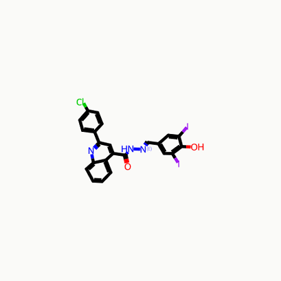 O=C(N/N=C/c1cc(I)c(O)c(I)c1)c1cc(-c2ccc(Cl)cc2)nc2ccccc12